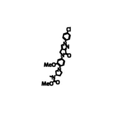 COC(=O)N(C)[C@H]1CCN(c2ccc(N3Cc4cn(-c5ccc(Cl)cc5)nc4C3=O)cc2OC)C1